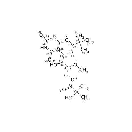 CO[C@H](COC(=O)C(C)(C)C)[C@@H](O)[C@@H](OC(=O)C(C)(C)C)n1ccc(=O)[nH]c1=O